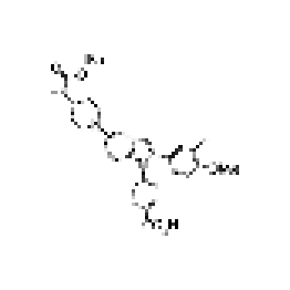 COc1ccc(-c2cc3cc(N4CCC(NC(=O)OC(C)(C)C)CC4)ccc3n2-c2ccc(C(=O)O)cc2)cc1F